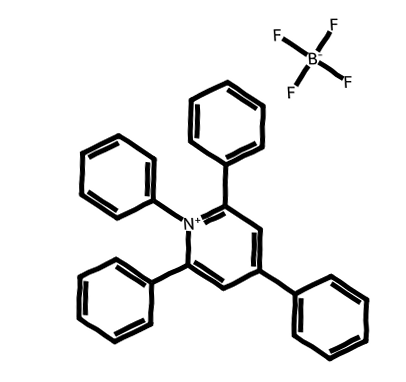 F[B-](F)(F)F.c1ccc(-c2cc(-c3ccccc3)[n+](-c3ccccc3)c(-c3ccccc3)c2)cc1